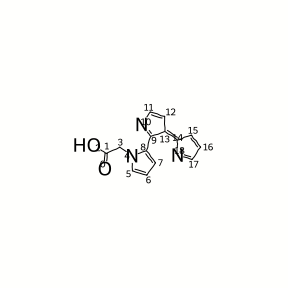 O=C(O)Cn1cccc1C1=NC=CC1=C1C=CC=N1